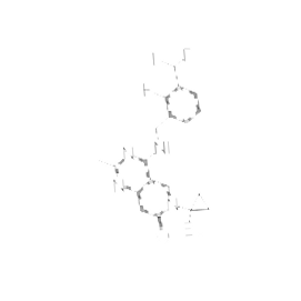 CCC1(n2cc3c(NCc4cccc(C(F)F)c4F)nc(C)nc3cc2=O)CC1